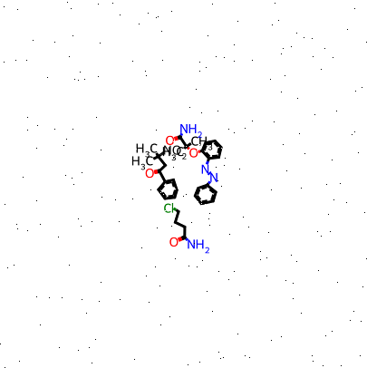 CC(C)(CC(=O)c1ccccc1)[N+](=O)[O-].CC(C)(Oc1ccccc1N=Nc1ccccc1)C(N)=O.NC(=O)CCCCl